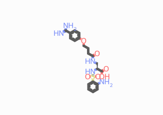 N=C(N)c1ccc(OCCCC(=O)NC[C@H](NS(=O)(=O)c2ccccc2N)C(=O)O)cc1